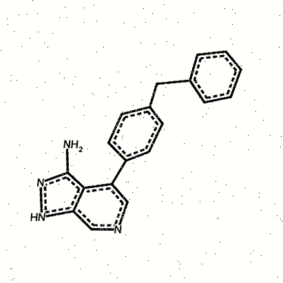 Nc1n[nH]c2cncc(-c3ccc(Cc4ccccc4)cc3)c12